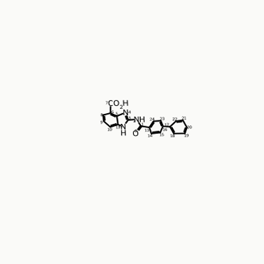 O=C(Nc1nc2c(C(=O)O)cccc2[nH]1)c1ccc(-c2ccccc2)cc1